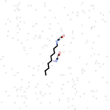 CCCCCCCCCN=C=O.N=C=O